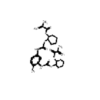 C=C(C)C(=O)OC1CCCCC1OC(=O)Nc1ccc(C)c(NC(=O)OC2CCCCC2OC(=O)C(=C)C)c1